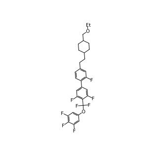 CCOCC1CCC(CCc2ccc(-c3cc(F)c(C(F)(F)Oc4cc(F)c(F)c(F)c4)c(F)c3)c(F)c2)CC1